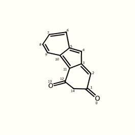 O=C1C=C2C=c3ccccc3=C2C(=O)C1